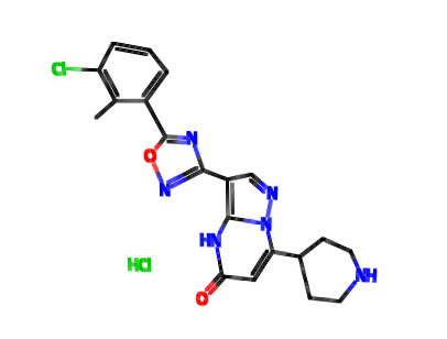 Cc1c(Cl)cccc1-c1nc(-c2cnn3c(C4CCNCC4)cc(=O)[nH]c23)no1.Cl